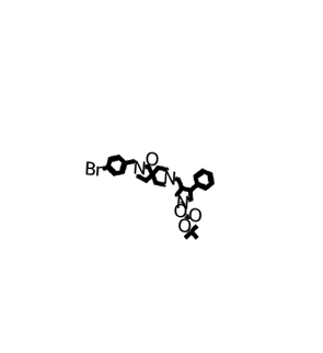 CC(C)(C)OC(=O)ON1CC(CN2CCC3(CC2)CCN(Cc2ccc(Br)cc2)C3=O)C(c2ccccc2)C1